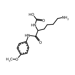 COc1ccc(NC(=O)C(CCCCN)NC(=O)O)cc1